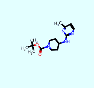 Cc1ccnc(NC2CCN(C(=O)OC(C)(C)C)CC2)n1